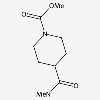 CNC(=O)C1CCN(C(=O)OC)CC1